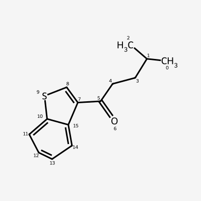 CC(C)CCC(=O)c1csc2ccccc12